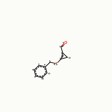 O=CC1=C(SCc2ccccc2)C1